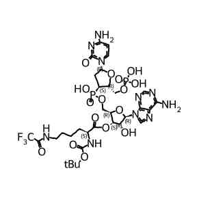 CC(C)(C)OC(=O)N[C@@H](CCCCNC(=O)C(F)(F)F)C(=O)O[C@H]1[C@@H](O)[C@H](n2cnc3c(N)ncnc32)O[C@@H]1COP(=O)(O)[C@H]1C[C@H](n2ccc(N)nc2=O)O[C@@H]1COP(=O)(O)O